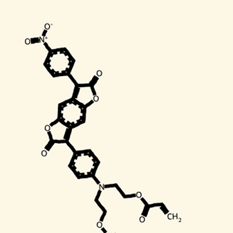 C=CC(=O)OCCN(CCOC)c1ccc(C2=c3cc4c(cc3OC2=O)=C(c2ccc([N+](=O)[O-])cc2)C(=O)O4)cc1